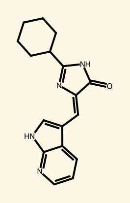 O=C1NC(C2CCCCC2)=NC1=Cc1c[nH]c2ncccc12